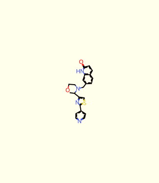 O=c1ccc2ccc(CN3CCOCC3c3csc(-c4ccncc4)n3)cc2[nH]1